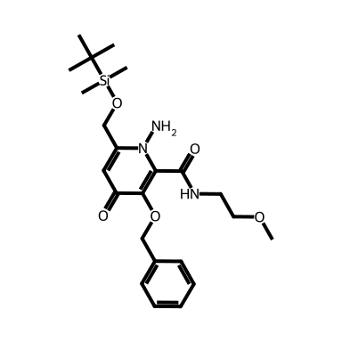 COCCNC(=O)c1c(OCc2ccccc2)c(=O)cc(CO[Si](C)(C)C(C)(C)C)n1N